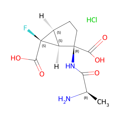 C[C@@H](N)C(=O)N[C@]1(C(=O)O)CC[C@H]2[C@@H]1[C@]2(F)C(=O)O.Cl